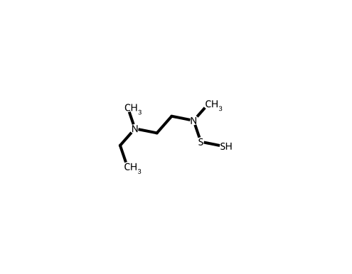 CCN(C)CCN(C)SS